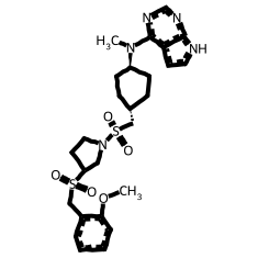 COc1ccccc1CS(=O)(=O)C1CCN(S(=O)(=O)C[C@H]2CC[C@H](N(C)c3ncnc4[nH]ccc34)CC2)C1